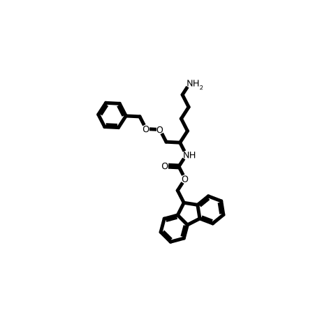 NCCCCC(COOCc1ccccc1)NC(=O)OCC1c2ccccc2-c2ccccc21